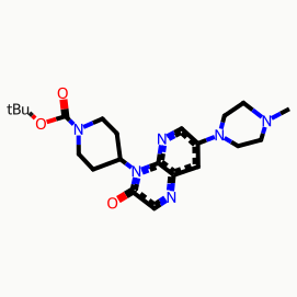 CN1CCN(c2cnc3c(c2)ncc(=O)n3C2CCN(C(=O)OC(C)(C)C)CC2)CC1